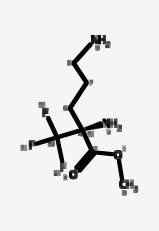 COC(=O)[C@@](N)(CCCN)C(F)(F)F